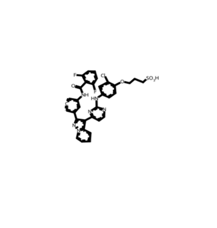 O=C(Nc1cccc(-c2nn3ccccc3c2-c2ccnc(Nc3ccc(OCCCS(=O)(=O)O)c(Cl)c3)n2)c1)c1c(F)cccc1F